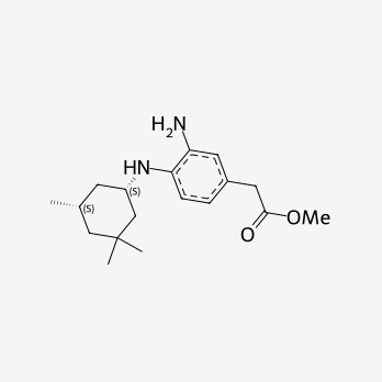 COC(=O)Cc1ccc(N[C@H]2C[C@@H](C)CC(C)(C)C2)c(N)c1